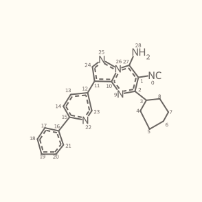 [C-]#[N+]c1c(C2CCCCC2)nc2c(-c3ccc(-c4ccccc4)nc3)cnn2c1N